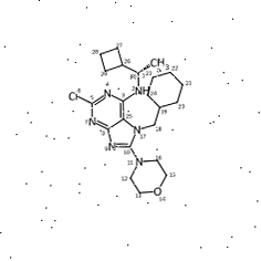 C[C@@H](Nc1nc(Cl)nc2nc(N3CCOCC3)n(CC3CCCCC3)c12)C1CCC1